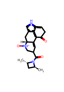 C[C@H]1C[C@H](C)N1C(=O)C1C=C2C3=c4c(c[nH]c4=CCC3=O)C[C@H]2[NH+]([O-])C1